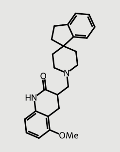 COc1cccc2c1CC(CN1CCC3(CCc4ccccc43)CC1)C(=O)N2